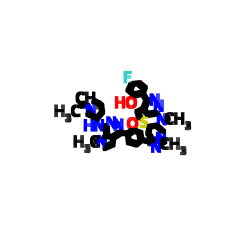 CC(C)N1CCC[C@@H](Nc2nnc(-c3ccc(C#N)cc3Oc3cc4c(-c5ccc(F)cc5O)nnc(N(C)[C@@H]5CCCN(C)C5)c4s3)c3ccn(C)c23)C1